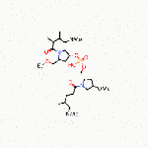 CCOC[C@@H]1C[C@@H](OP(=O)(O)OC[C@@H]2C[C@@H](OC)CN2C(=O)CCC(C)CNC)CN1C(=O)C(C)C(C)CNC